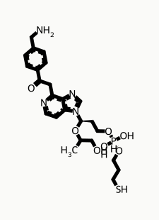 CC(CO)O[C@H](CCO[PH](O)(O)OCCCS)n1cnc2c(CC(=O)c3ccc(CN)cc3)nccc21